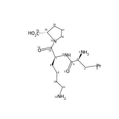 CC(C)C[C@H](N)C(=O)N[C@@H](CCCCN)C(=O)N1CCC[C@H]1C(=O)O